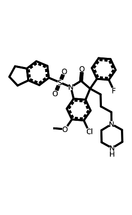 COc1cc2c(cc1Cl)C(CCCN1CCNCC1)(c1ccccc1F)C(=O)N2S(=O)(=O)c1ccc2c(c1)CCC2